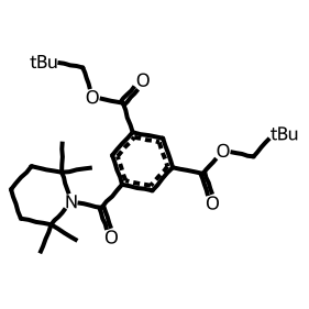 CC(C)(C)COC(=O)c1cc(C(=O)OCC(C)(C)C)cc(C(=O)N2C(C)(C)CCCC2(C)C)c1